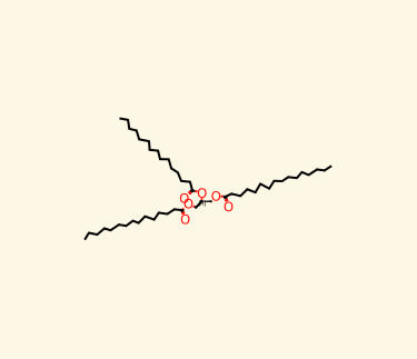 CCCCCCCCCCCCCCCC(=O)OC[C@@H](COC(=O)CCCCCCCCCCCCCC)OC(=O)CCCCCCCCCCCCCC